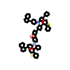 c1ccc(-c2ccc(N(c3ccc(-c4cccc5ccccc45)cc3)c3cc(-c4ccc5oc6cc(N(c7ccc(-c8cccc9ccccc89)cc7)c7ccccc7-c7cccc8sc9ccccc9c78)ccc6c5c4)ccc3-c3cccc4sc5ccccc5c34)cc2)cc1